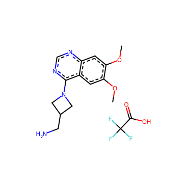 COc1cc2ncnc(N3CC(CN)C3)c2cc1OC.O=C(O)C(F)(F)F